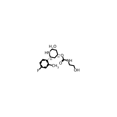 Cc1cc(F)ccc1[C@H]1C[C@@H](OC(=O)NCCO)CCN1.O